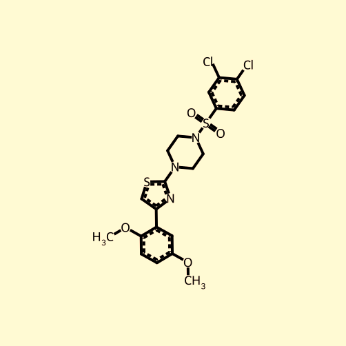 COc1ccc(OC)c(-c2csc(N3CCN(S(=O)(=O)c4ccc(Cl)c(Cl)c4)CC3)n2)c1